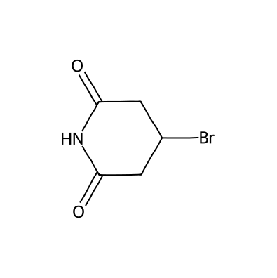 O=C1CC(Br)CC(=O)N1